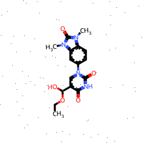 CCOC(O)c1cn(-c2ccc3c(c2)n(C)c(=O)n3C)c(=O)[nH]c1=O